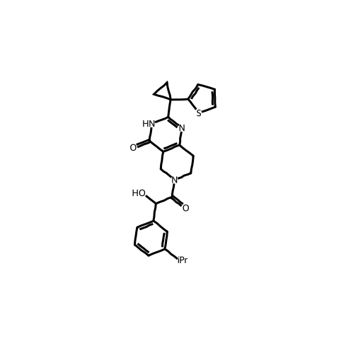 CC(C)c1cccc(C(O)C(=O)N2CCc3nc(C4(c5cccs5)CC4)[nH]c(=O)c3C2)c1